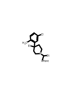 CCCCCC(CC)N1CCC(CC)(c2cc(Cl)ccc2C)CC1